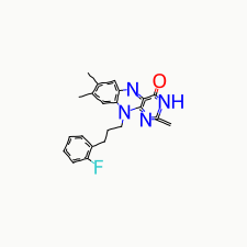 C=c1nc2c(c(=O)[nH]1)=Nc1cc(C)c(C)cc1N2CCCc1ccccc1F